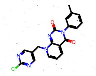 Cc1cccc(-n2c(=O)nc3n(Cc4cnc(Cl)nc4)cccc-3c2=O)c1